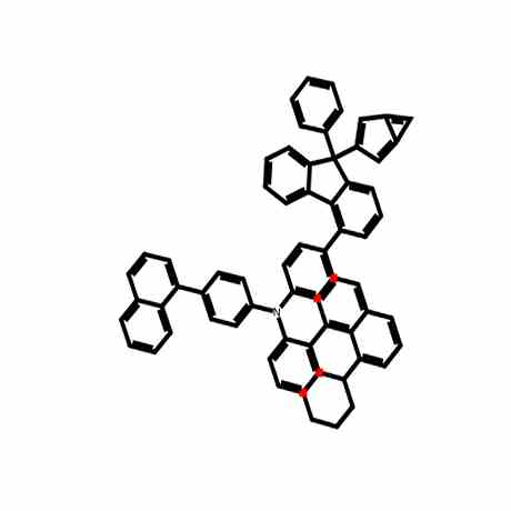 c1ccc(C2(c3cc4cc-4c3)c3ccccc3-c3c(-c4ccc(N(c5ccc(-c6cccc7ccccc67)cc5)c5ccccc5-c5cccc6cccc(C7CCCCC7)c56)cc4)cccc32)cc1